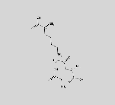 NC(=O)C[C@H](N)C(=O)O.NCC(=O)O.NCCCC[C@H](N)C(=O)O